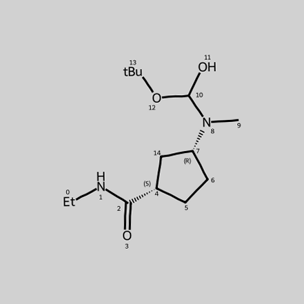 CCNC(=O)[C@H]1CC[C@@H](N(C)C(O)OC(C)(C)C)C1